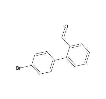 O=Cc1ccccc1-c1ccc(Br)cc1